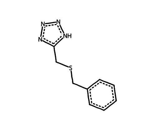 c1ccc(CSCc2nnn[nH]2)cc1